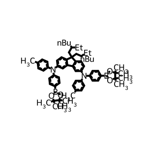 CCCCC(CC)CC1(CC(CC)CCCC)c2ccc(N(c3ccc(C)cc3)c3ccc(B4OC(C)(C)C(C)(C)O4)cc3)cc2-c2cc(N(c3ccc(C)cc3)c3ccc(B4OC(C)(C)C(C)(C)O4)cc3)ccc21